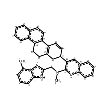 CN(Cc1nc2c(C=O)cccc2[nH]1)c1nc2ccccc2cc1C1C=CC2=C(CCc3c2ccc2ccccc32)C1